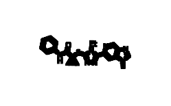 CCn1c(SC2(C(=O)Nc3ccccc3)CC2)nnc1-c1cc2c(cn1)ncn2C